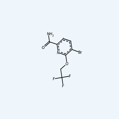 NC(=O)c1[c]cc(Br)c(OCC(F)(F)F)n1